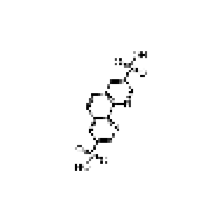 O=S(=O)(O)c1cnc2c(ccc3cc(S(=O)(=O)O)cnc32)c1